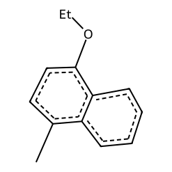 CCOc1ccc(C)c2ccccc12